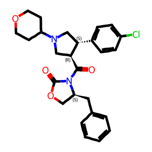 O=C1OC[C@H](Cc2ccccc2)N1C(=O)[C@H]1CN(C2CCOCC2)C[C@@H]1c1ccc(Cl)cc1